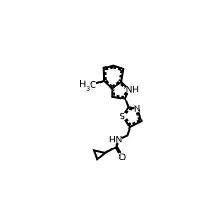 Cc1cccc2[nH]c(-c3ncc(CNC(=O)C4CC4)s3)cc12